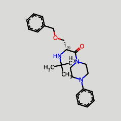 CC(C)(C)N[C@H](COCc1ccccc1)C(=O)N1CCN(c2ccccc2)CC1